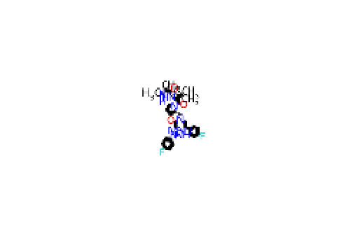 CN[C@@H](C)C(=O)N[C@H](C(=O)N1CCC[C@H]1CN(CCc1ccc(F)cc1)C(=O)C1=NN(c2ccc(F)cc2)NN1)C(C)(C)C